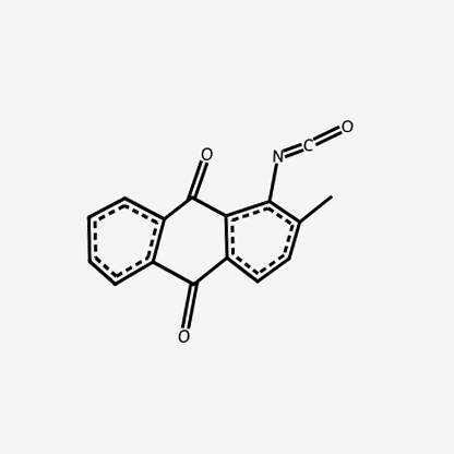 Cc1ccc2c(c1N=C=O)C(=O)c1ccccc1C2=O